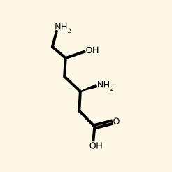 NCC(O)C[C@@H](N)CC(=O)O